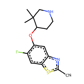 CC1(C)CNCCC1Oc1cc2nc(C#N)sc2cc1F